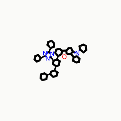 c1ccc(-c2cccc(-c3ccc(-c4cccc5c4oc4c5ccc5c4c4ccccc4n5-c4ccccc4)c(-c4nc(-c5ccccc5)nc(-c5ccccc5)n4)c3)c2)cc1